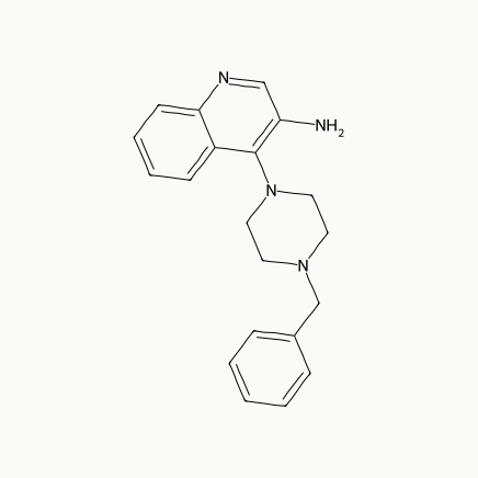 Nc1cnc2ccccc2c1N1CCN(Cc2ccccc2)CC1